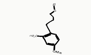 CCOCCCc1ccc(OC)cc1C(=O)O